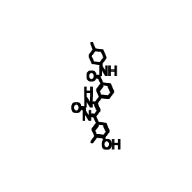 Cc1cc(-c2cc(-c3cccc(C(=O)NC4CCC(C)CC4)c3)[nH]c(=O)n2)ccc1O